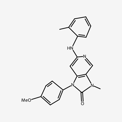 COc1ccc(-n2c(=O)n(C)c3cnc(Nc4ccccc4C)cc32)cc1